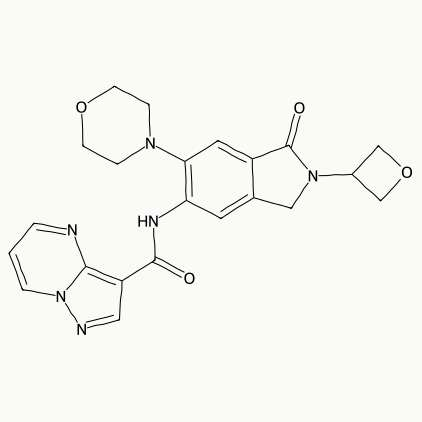 O=C(Nc1cc2c(cc1N1CCOCC1)C(=O)N(C1COC1)C2)c1cnn2cccnc12